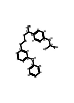 CC(C)C(CCCc1cccc(Oc2ccccc2)c1)c1ccc(OC(F)F)cc1